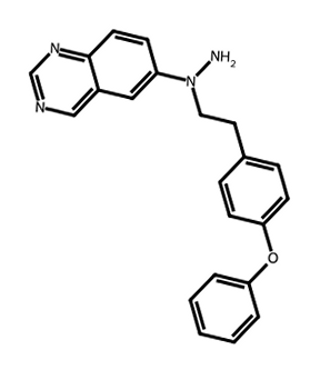 NN(CCc1ccc(Oc2ccccc2)cc1)c1ccc2ncncc2c1